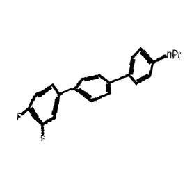 CCCc1ccc(-c2ccc(-c3ccc(F)c(F)c3)cc2)cc1